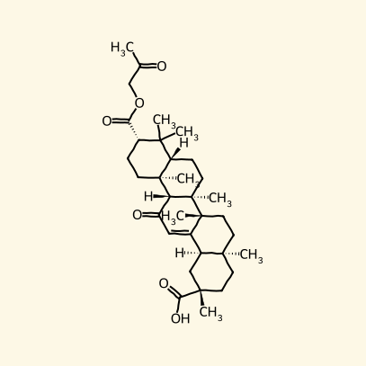 CC(=O)COC(=O)[C@H]1CC[C@]2(C)[C@H]3C(=O)C=C4[C@@H]5C[C@@](C)(C(=O)O)CC[C@]5(C)CC[C@@]4(C)[C@]3(C)CC[C@H]2C1(C)C